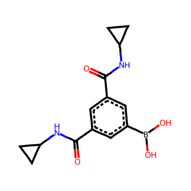 O=C(NC1CC1)c1cc(B(O)O)cc(C(=O)NC2CC2)c1